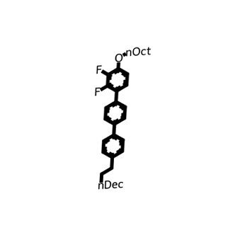 CCCCCCCCCCCCc1ccc(-c2ccc(-c3ccc(OCCCCCCCC)c(F)c3F)cc2)cc1